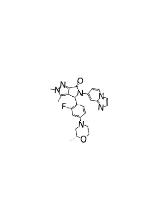 Cc1c2c(nn1C)C(=O)N(c1ccn3ccnc3c1)C2c1ccc(N2CCO[C@H](C)C2)cc1F